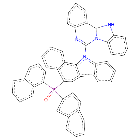 O=P(c1ccc2ccccc2c1)(c1cccc2ccccc12)c1cc2c3ccccc3n(C3=Nc4ccccc4C4Nc5ccccc5N34)c2c2ccccc12